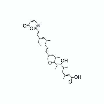 CCC(C=C[C@@H]1OC(=O)C=C[C@@H]1C)=CC(C)CC=CC(C)=CC(C)C(=O)C(C)C(O)C(C)CC(C)=CC(=O)O